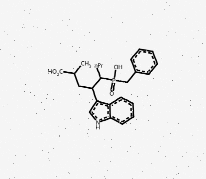 CCCC(C(CC(C)C(=O)O)c1c[nH]c2ccccc12)P(=O)(O)Cc1ccccc1